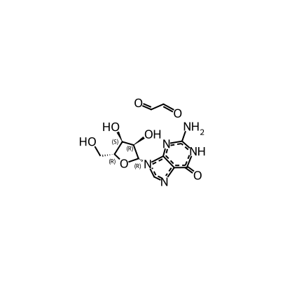 Nc1nc2c(ncn2[C@@H]2O[C@H](CO)[C@@H](O)[C@H]2O)c(=O)[nH]1.O=CC=O